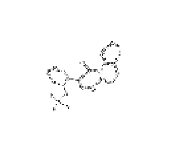 O=c1c(-c2ccccc2OC(F)(F)F)coc2ccc3ccccc3c12